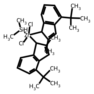 CC1=Cc2c(cccc2C(C)(C)C)[CH]1[Zr]([Cl])([Cl])([CH]1C(C)=Cc2c1cccc2C(C)(C)C)[SiH](C)C